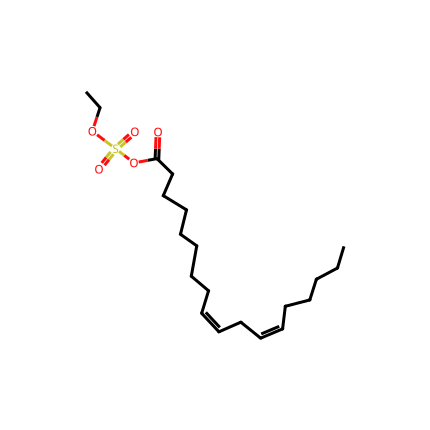 CCCCC/C=C\C/C=C\CCCCCCCC(=O)OS(=O)(=O)OCC